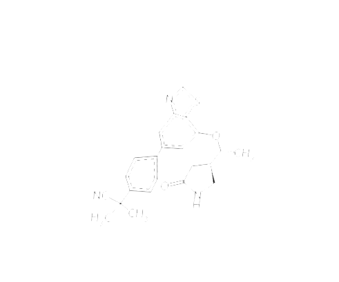 C[C@@H](Oc1cc(-c2ccc(C(C)(C)C#N)cc2)cc2ncsc12)[C@H]1CNC(=O)C1